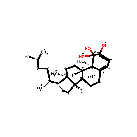 CC(C)[C@@H](C)CC[C@@H](C)[C@H]1CC[C@H]2[C@@H]3CCC4=CC=C(O)C(O)(O)[C@]4(C)[C@H]3CC[C@]12C